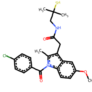 COc1ccc2c(c1)c(CC(=O)NCC(C)(C)S)c(C)n2C(=O)c1ccc(Cl)cc1